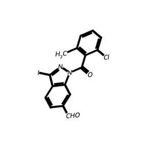 Cc1cccc(Cl)c1C(=O)n1nc(I)c2ccc(C=O)cc21